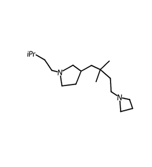 CC(C)CCN1CCC(CC(C)(C)CCN2CCC2)C1